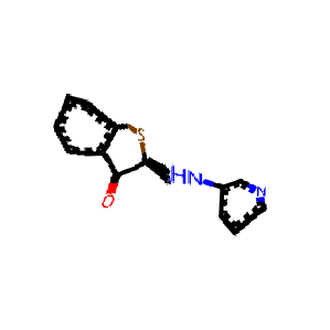 O=C1C(=CNc2cccnc2)Sc2ccccc21